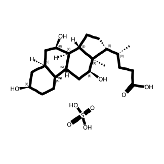 C[C@H](CCC(=O)O)[C@H]1CC[C@H]2[C@@H]3[C@H](O)C[C@@H]4C[C@H](O)CC[C@]4(C)[C@H]3C[C@H](O)[C@]12C.O=S(=O)(O)O